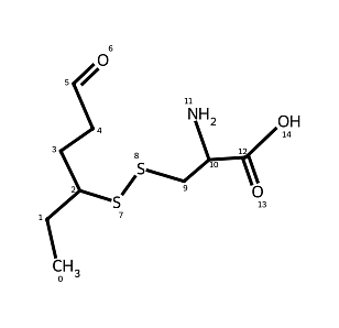 CCC(CCC=O)SSCC(N)C(=O)O